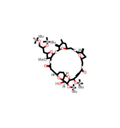 C=C1C(C)CC2CC[C@@H]3OC(CCC(=O)/C=C/C(O[Si](C)(C)C(C)(C)C)C4O[C@H]5CC[C@H](CC(=O)CC6C(CC1O2)OC(CC(CO[Si](C)(C)C(C)(C)C)O[Si](C)(C)C(C)(C)C)[C@@H]6OC)OC5[C@H](O)C4O[Si](C)(C)C(C)(C)C)CC3=C